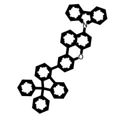 c1ccc(C2(c3ccccc3)c3ccccc3-c3c(-c4ccc5c(c4)-c4cccc6c(-n7c8ccccc8c8ccccc87)ccc(c46)O5)cccc32)cc1